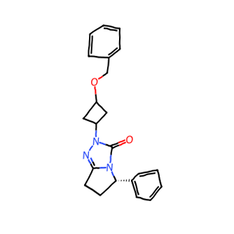 O=c1n(C2CC(OCc3ccccc3)C2)nc2n1[C@H](c1ccccc1)CC2